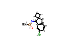 CC(C)(C)[S+]([O-])N=C1c2cc(Br)ccc2CC12CCC2